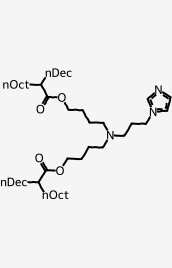 CCCCCCCCCCC(CCCCCCCC)C(=O)OCCCCN(CCCCOC(=O)C(CCCCCCCC)CCCCCCCCCC)CCCn1ccnc1